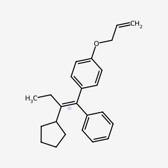 C=CCOc1ccc(/C(=C(\CC)C2CCCC2)c2ccccc2)cc1